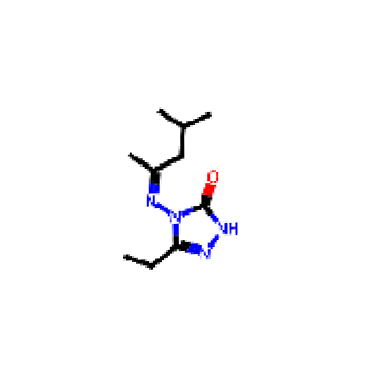 CCc1n[nH]c(=O)n1N=C(C)CC(C)C